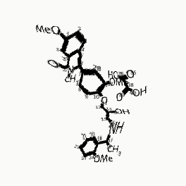 COc1ccc2cc(-c3ccc(OCC(O)CNC(C)c4ccccc4OC)c(OC)c3)n(C)c(=O)c2c1.O=C(O)C(=O)O